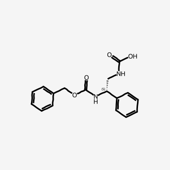 O=C(O)NC[C@@H](NC(=O)OCc1ccccc1)c1ccccc1